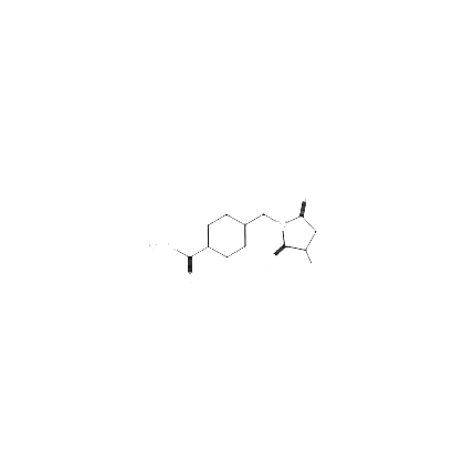 CNC(=O)C1CCC(CN2C(=O)CC(S)C2=O)CC1